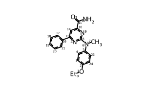 CCOc1ccc(N(C)c2nc(C(N)=O)cc(-c3ccccc3)n2)cc1